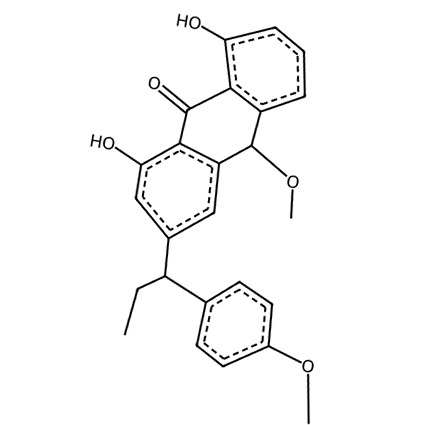 CCC(c1ccc(OC)cc1)c1cc(O)c2c(c1)C(OC)c1cccc(O)c1C2=O